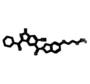 COCCOc1ccc2c(c1)CN(C(=O)c1cc3c(C(=O)C4CCCCC4)n[nH]c3cc1O)C2